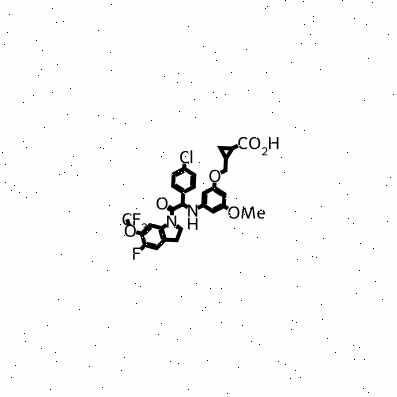 COc1cc(NC(C(=O)N2CCc3cc(F)c(OC(F)(F)F)cc32)c2ccc(Cl)cc2)cc(OCC2CC2C(=O)O)c1